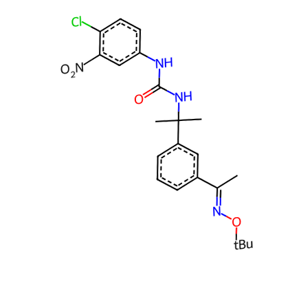 C/C(=N\OC(C)(C)C)c1cccc(C(C)(C)NC(=O)Nc2ccc(Cl)c([N+](=O)[O-])c2)c1